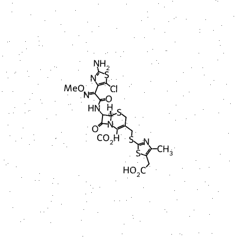 CON=C(C(=O)NC1C(=O)N2C(C(=O)O)=C(CSc3nc(C)c(CC(=O)O)s3)CS[C@@H]12)c1nc(N)sc1Cl